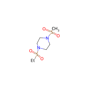 CCS(=O)(=O)N1CCN(S(C)(=O)=O)CC1